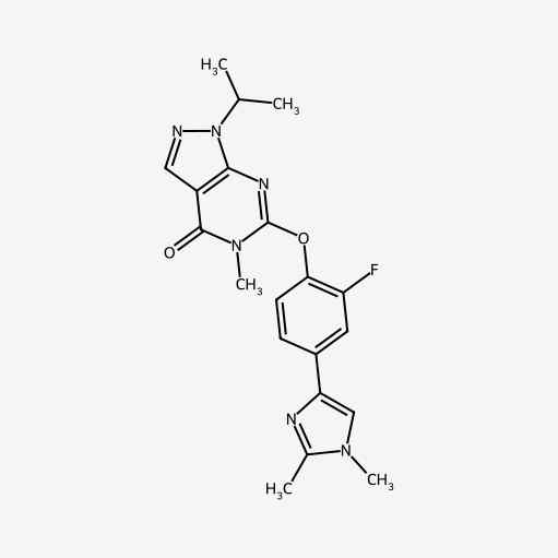 Cc1nc(-c2ccc(Oc3nc4c(cnn4C(C)C)c(=O)n3C)c(F)c2)cn1C